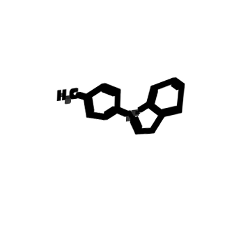 Cc1ccc([N+]2=CCc3ccccc32)cc1